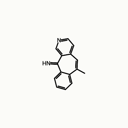 Cc1cc2ccncc2c(=N)c2ccccc12